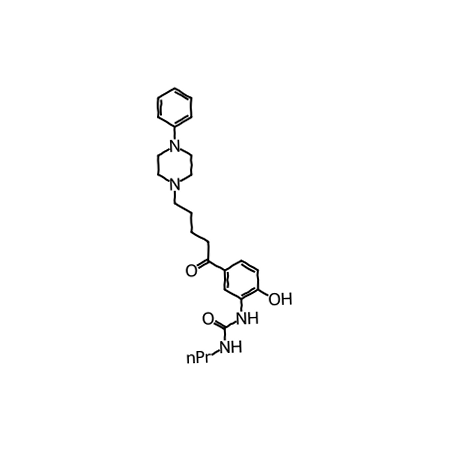 CCCNC(=O)Nc1cc(C(=O)CCCCN2CCN(c3ccccc3)CC2)ccc1O